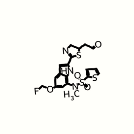 CN(c1cc(OCF)cc2cc(C3=NCC(CC=O)S3)[nH]c12)S(=O)(=O)c1cccs1